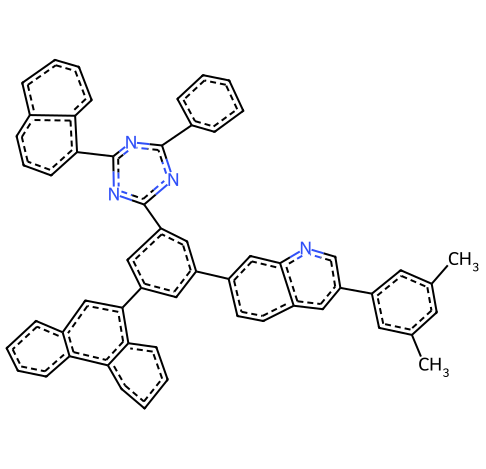 Cc1cc(C)cc(-c2cnc3cc(-c4cc(-c5nc(-c6ccccc6)nc(-c6cccc7ccccc67)n5)cc(-c5cc6ccccc6c6ccccc56)c4)ccc3c2)c1